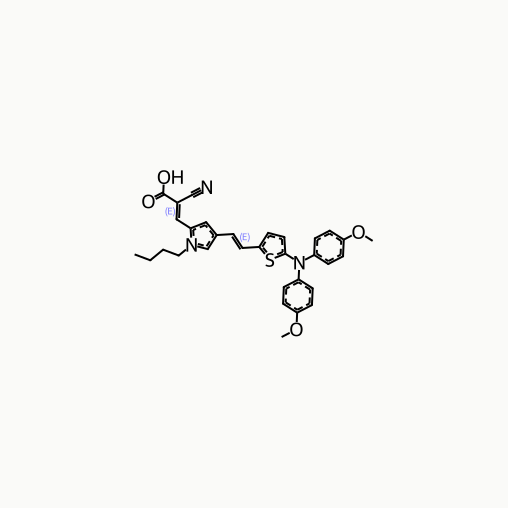 CCCCn1cc(/C=C/c2ccc(N(c3ccc(OC)cc3)c3ccc(OC)cc3)s2)cc1/C=C(\C#N)C(=O)O